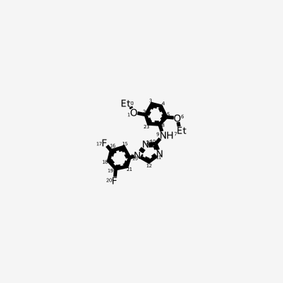 CCOc1ccc(OCC)c(Nc2ncn(-c3cc(F)cc(F)c3)n2)c1